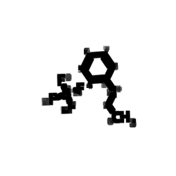 CC[I+]c1ccccc1.F[B-](F)(F)F